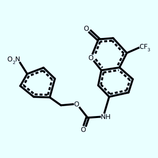 O=C(Nc1ccc2c(C(F)(F)F)cc(=O)oc2c1)OCc1ccc([N+](=O)[O-])cc1